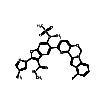 CNC(=O)c1c(-n2cc(C)cn2)oc2cc(N(C)S(C)(=O)=O)c(-c3ccc4c(n3)-c3cc5c(F)cccc5n3CO4)cc12